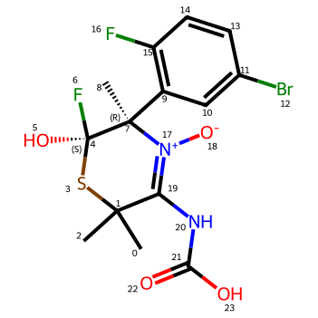 CC1(C)S[C@@](O)(F)[C@@](C)(c2cc(Br)ccc2F)[N+]([O-])=C1NC(=O)O